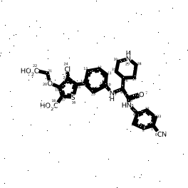 N#Cc1ccc(NC(=O)C(Nc2cccc(-c3sc(C(=O)O)c(OCC(=O)O)c3Cl)c2)C2CCNCC2)cc1